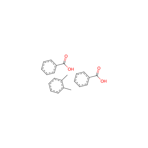 Cc1ccccc1C.O=C(O)c1ccccc1.O=C(O)c1ccccc1